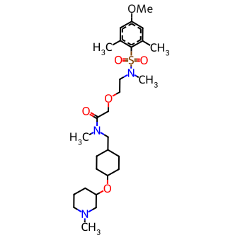 COc1cc(C)c(S(=O)(=O)N(C)CCOCC(=O)N(C)CC2CCC(OC3CCCN(C)C3)CC2)c(C)c1